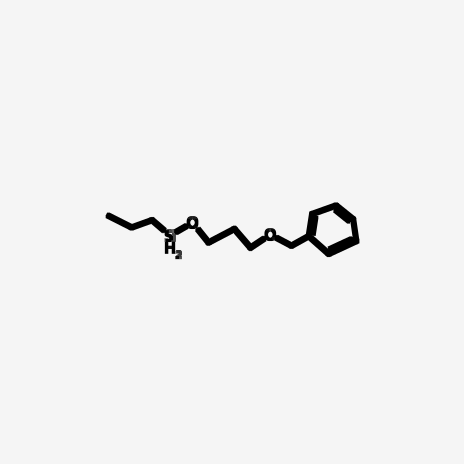 CCC[SiH2]OCCCOCc1ccccc1